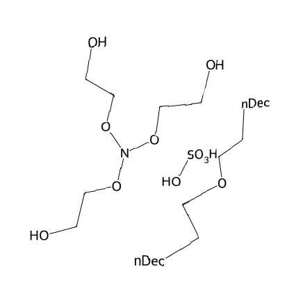 CCCCCCCCCCCCOCCCCCCCCCCCC.O=S(=O)(O)O.OCCON(OCCO)OCCO